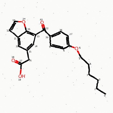 CCCCCCOc1ccc(C(=O)c2cc(CC(=O)O)cc3ccoc23)cc1